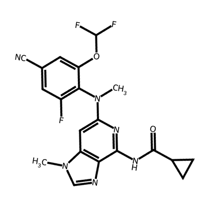 CN(c1cc2c(ncn2C)c(NC(=O)C2CC2)n1)c1c(F)cc(C#N)cc1OC(F)F